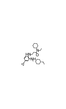 CCN(C(=O)CCNc1ccc(C2CC2)cc1NC[C@H]1CC[C@H](CC)CC1)C1CCCCC1